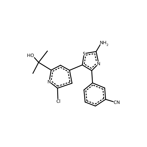 CC(C)(O)c1cc(-c2sc(N)nc2-c2cccc(C#N)c2)cc(Cl)n1